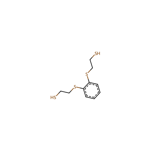 SCCSc1ccccc1SCCS